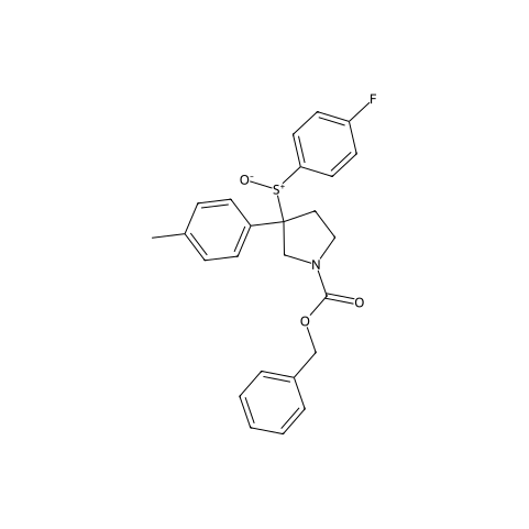 Cc1ccc(C2([S+]([O-])c3ccc(F)cc3)CCN(C(=O)OCc3ccccc3)C2)cc1